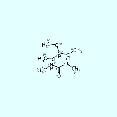 CNC(=O)OC.CO[SiH](OC)OC